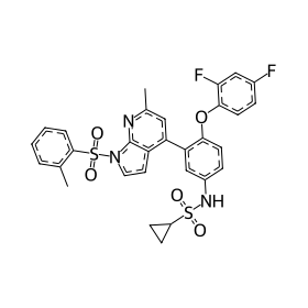 Cc1cc(-c2cc(NS(=O)(=O)C3CC3)ccc2Oc2ccc(F)cc2F)c2ccn(S(=O)(=O)c3ccccc3C)c2n1